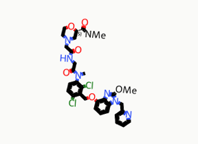 CNC(=O)[C@@H]1CN(CC(=O)NCC(=O)N(C)c2ccc(Cl)c(COc3cccc4c3nc(OC)n4Cc3ccccn3)c2Cl)CCO1